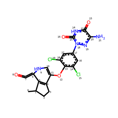 CC1CCC2=C1C(=C=O)NC=C2Oc1c(Cl)cc(-n2nc(N)c(=O)[nH]c2=O)cc1Cl